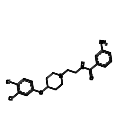 Nc1cccc(C(=O)NCCN2CCC(Oc3ccc(Cl)c(Cl)c3)CC2)c1